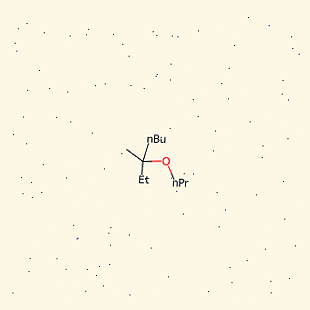 CCCCC(C)(CC)OCCC